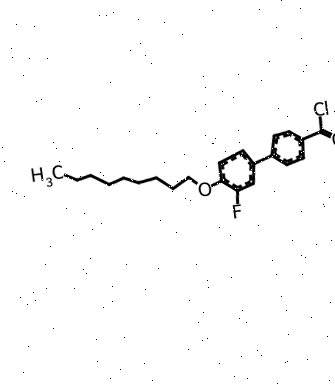 CCCCCCCCCOc1ccc(-c2ccc(C(=O)Cl)cc2)cc1F